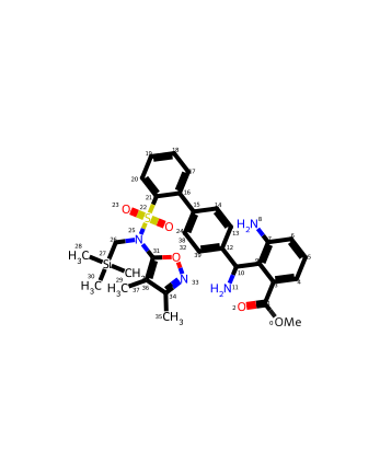 COC(=O)c1cccc(N)c1C(N)c1ccc(-c2ccccc2S(=O)(=O)N(C[Si](C)(C)C)c2onc(C)c2C)cc1